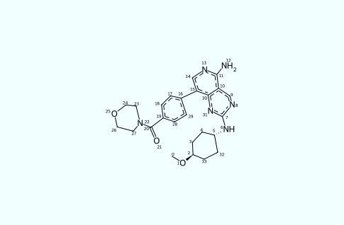 CO[C@H]1CC[C@H](Nc2ncc3c(N)ncc(-c4ccc(C(=O)N5CCOCC5)cc4)c3n2)CC1